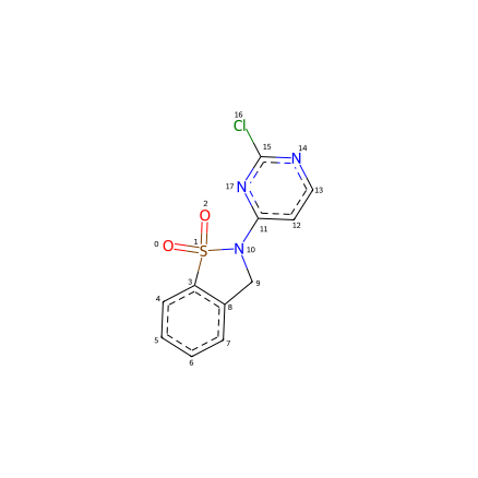 O=S1(=O)c2ccccc2CN1c1ccnc(Cl)n1